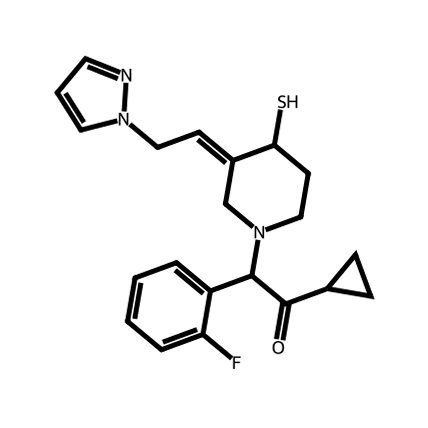 O=C(C1CC1)C(c1ccccc1F)N1CCC(S)/C(=C/Cn2cccn2)C1